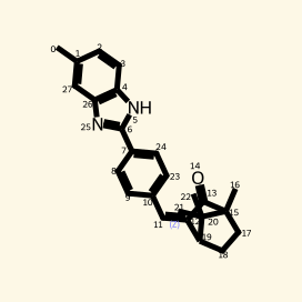 Cc1ccc2[nH]c(-c3ccc(/C=C4\C(=O)C5(C)CCC4C5(C)C)cc3)nc2c1